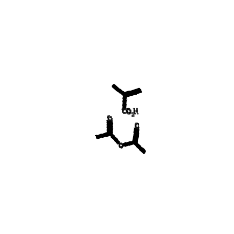 C=C(C)C(=O)O.CC(=O)OC(C)=O